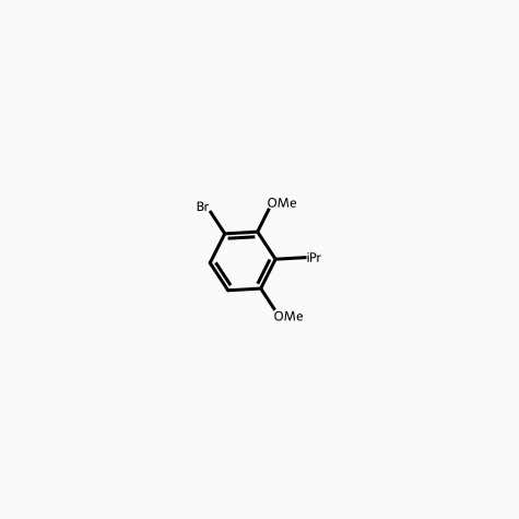 COc1ccc(Br)c(OC)c1C(C)C